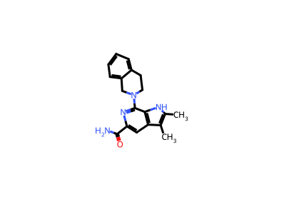 Cc1[nH]c2c(N3CCc4ccccc4C3)nc(C(N)=O)cc2c1C